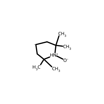 CC1(C)C[CH]CC(C)(C)[NH+]1[O-]